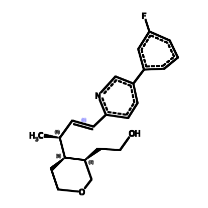 C[C@@H](/C=C/c1ccc(-c2cccc(F)c2)cn1)[C@@H]1CCOC[C@@H]1CCO